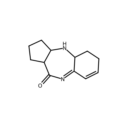 O=C1N=C2C=CCCC2NC2CCCC12